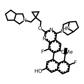 C#Cc1c(F)ccc2cc(O)cc(-c3c(OC)cc4c(N5CC6CCC(C5)N6)nc(OCC5(CN6CC7CCCC7C6)CC5)nc4c3F)c12